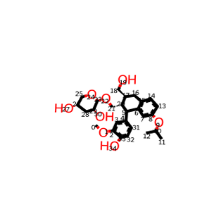 COc1cc(C2c3cc(OC(C)C)ccc3C[C@H](CO)[C@H]2CO[C@@H]2OC[C@@H](O)C[C@H]2O)ccc1O